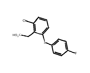 O=C(O)Cc1c(Cl)cccc1Sc1ccc(F)cc1